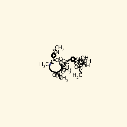 C=CCOC(=O)[C@H]1O[C@@H](Oc2ccc(COC(=O)O[C@H]3CC(=O)O[C@H](c4ccc5sc(C)nc5c4)C/C=C(/C)CCC[C@H](C)[C@H](O)[C@@H](CC=C)C(=O)C3(C)C)cc2OC)[C@H](O)[C@@H](O)[C@@H]1O